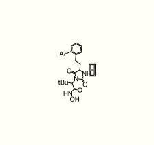 CC(=O)c1ccccc1CCC1NC(=O)N(C(C(=O)NO)C(C)(C)C)C1=O.c1cc2ccc1-2